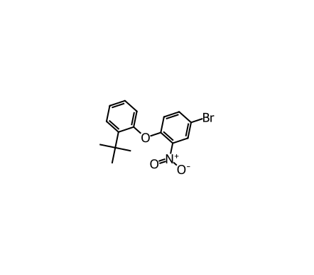 CC(C)(C)c1ccccc1Oc1ccc(Br)cc1[N+](=O)[O-]